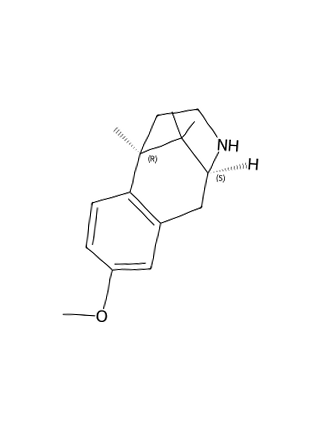 COc1ccc2c(c1)C[C@@H]1NCC[C@@]2(C)C1(C)C